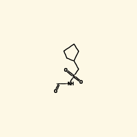 O=[C]NS(=O)(=O)CC1CCCC1